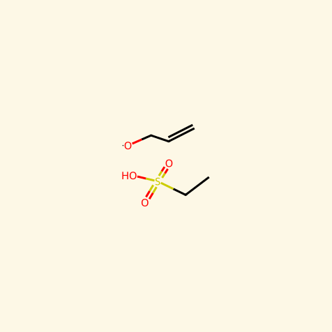 C=CC[O].CCS(=O)(=O)O